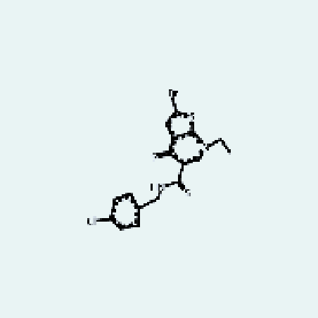 CCn1cc(C(=S)NCc2ccc(Cl)cc2)c(=S)c2cc(Br)sc21